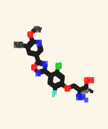 CC(C)Oc1ncc(-c2nc(-c3cc(F)c(OC[C@H](N)[C@@H](C)O)cc3Cl)no2)cc1C#N